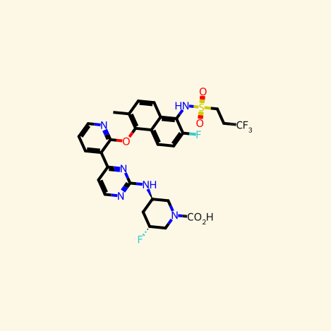 Cc1ccc2c(NS(=O)(=O)CCC(F)(F)F)c(F)ccc2c1Oc1ncccc1-c1ccnc(N[C@@H]2C[C@@H](F)CN(C(=O)O)C2)n1